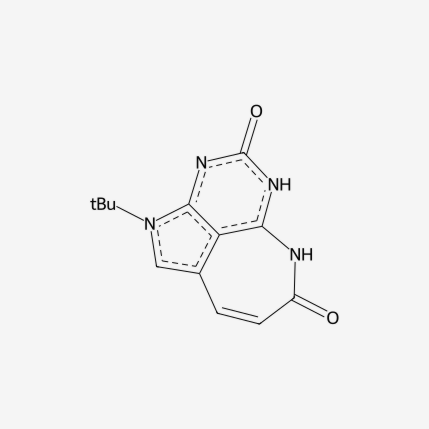 CC(C)(C)n1cc2c3c([nH]c(=O)nc31)NC(=O)C=C2